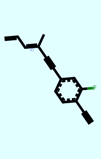 C#Cc1ccc(C#C/C(C)=C/C=C)cc1F